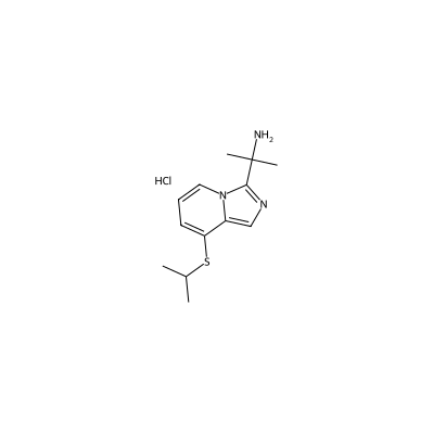 CC(C)Sc1cccn2c(C(C)(C)N)ncc12.Cl